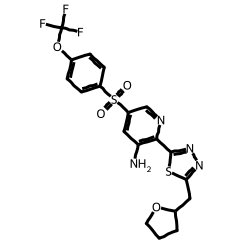 Nc1cc(S(=O)(=O)c2ccc(OC(F)(F)F)cc2)cnc1-c1nnc(CC2CCCO2)s1